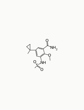 COc1c(NS(C)(=O)=O)cc(C2(C)CC2)cc1C(N)=O